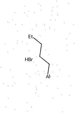 Br.CCCC[CH2][Al]